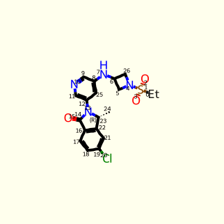 CCS(=O)(=O)N1CC(Nc2cncc(N3C(=O)c4ccc(Cl)cc4[C@H]3C)c2)C1